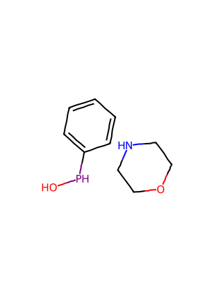 C1COCCN1.OPc1ccccc1